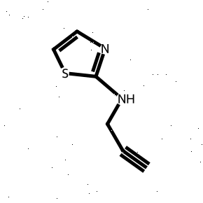 C#CCNc1nccs1